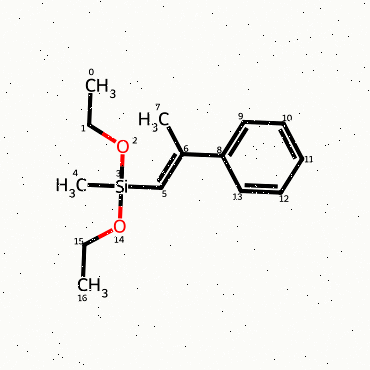 CCO[Si](C)(C=C(C)c1ccccc1)OCC